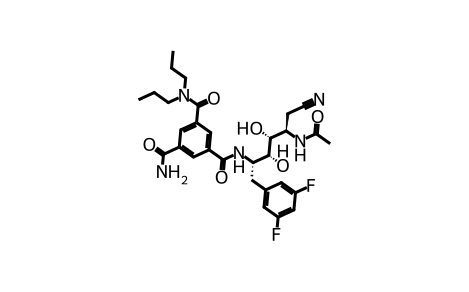 CCCN(CCC)C(=O)c1cc(C(N)=O)cc(C(=O)N[C@@H](Cc2cc(F)cc(F)c2)[C@@H](O)[C@H](O)[C@@H](CC#N)NC(C)=O)c1